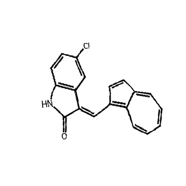 O=C1Nc2ccc(Cl)cc2/C1=C\c1ccc2cccccc1-2